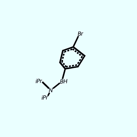 CC(C)N(Bc1ccc(Br)cc1)C(C)C